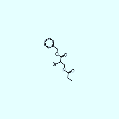 CCC(=O)NCC(Br)C(=O)OCc1ccccc1